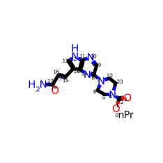 CCCOC(=O)N1CCN(c2cnc3[nH]cc(/C=C/C(N)=O)c3n2)CC1